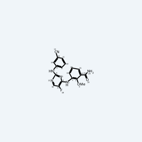 COc1c(Nc2nc(Nc3cccc(C#N)c3)ncc2F)cccc1C(N)=O